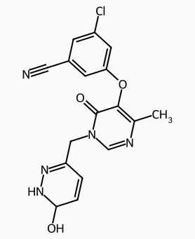 Cc1ncn(CC2=NNC(O)C=C2)c(=O)c1Oc1cc(Cl)cc(C#N)c1